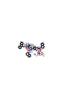 CC(C)(C)OC(=O)N1Cc2cc([C@H]3C[C@@H](C(=O)N[C@@H]4CCCc5ccccc54)N(C(=O)[C@@H](NC(=O)OCC4c5ccccc5-c5ccccc54)C(C)(C)C)C3)ccc2C[C@H]1C(=O)N[C@@H]1CCCc2ccccc21